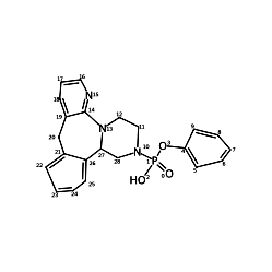 O=P(O)(Oc1ccccc1)N1CCN2c3ncccc3Cc3ccccc3C2C1